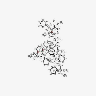 C=C[Si](C)(C)O[Si](O[Si](C)(C)CC[Si](C)(C)O[Si](O[Si](C)(C)CC[Si](C)(C)O[Si](O[Si](C)(C)C=C)(c1ccccc1)c1ccccc1)(O[Si](C)(C)C(=C)[Si](C)(C)O[Si](O[Si](C)(C)C=C)(c1ccccc1)c1ccccc1)c1ccccc1)(c1ccccc1)c1ccccc1